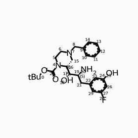 CC(C)(C)OC(=O)N1CCN(Cc2ccccc2)C[C@@H]1[C@@H](O)[C@@H](N)Cc1cc(O)cc(F)c1